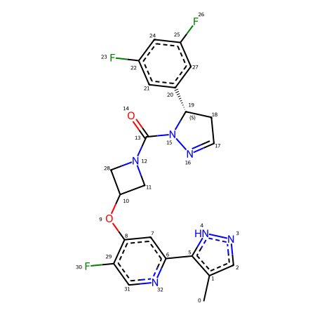 Cc1cn[nH]c1-c1cc(OC2CN(C(=O)N3N=CC[C@H]3c3cc(F)cc(F)c3)C2)c(F)cn1